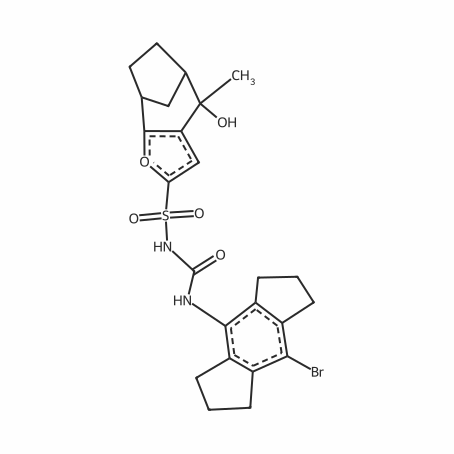 CC1(O)c2cc(S(=O)(=O)NC(=O)Nc3c4c(c(Br)c5c3CCC5)CCC4)oc2C2CCC1C2